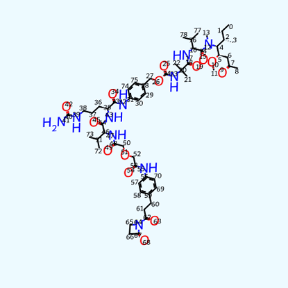 CC[C@H](C)[C@@H]([C@@H](CC(C)=O)OC)N(C)C(=O)[C@@H](NC(=O)C(C)(C)NC(=O)OCc1ccc(NC(=O)[C@H](CCCNC(N)=O)NC(=O)[C@@H](NC(=O)COCC(=O)Nc2ccc(CCC(=O)N3CCC3=O)cc2)C(C)C)cc1)C(C)C